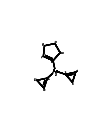 C1=C([As](C2=CC2)C2=CCCC2)C1